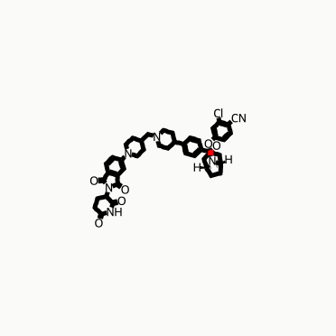 N#Cc1ccc(OC2C[C@H]3CC[C@@H](C2)N3C(=O)c2ccc(C3CCN(CC4CCN(c5ccc6c(c5)C(=O)N(C5CCC(=O)NC5=O)C6=O)CC4)CC3)cc2)cc1Cl